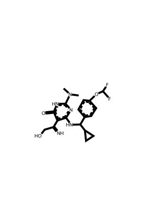 CN(C)c1nc(NC(c2ccc(OC(F)F)cc2)C2CC2)c(C(=N)CO)c(=O)[nH]1